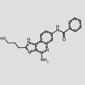 Nc1nc2cc(NC(=O)c3ccccc3)ccc2c2[nH]c(CCCO)nc12